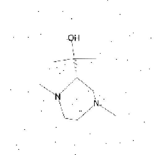 CN1CCN(C)[C@H](C(C)(C)O)C1